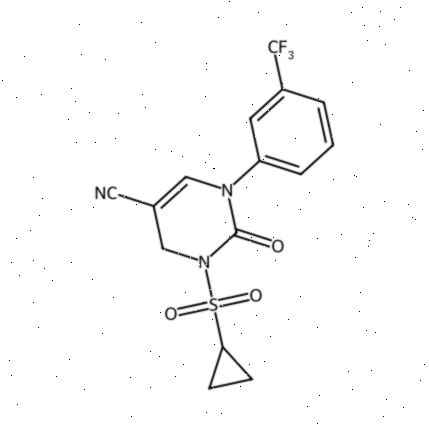 N#CC1=CN(c2cccc(C(F)(F)F)c2)C(=O)N(S(=O)(=O)C2CC2)C1